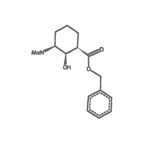 CN[C@H]1CCC[C@H](C(=O)OCc2ccccc2)[C@H]1O